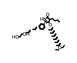 C=CC.C=CC.C=CC.C=CC.C=CC.C=CC.C=CC.C=CC.CCCCC1C(=O)NN(c2ccccc2)C1=O.CCOCC.OCCO